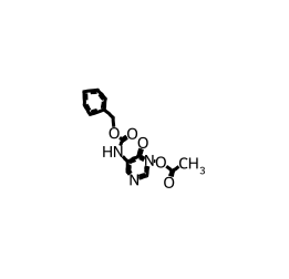 CC(=O)On1cncc(NC(=O)OCc2ccccc2)c1=O